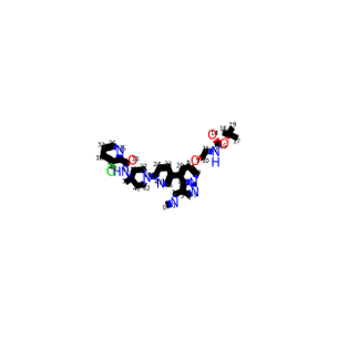 C=NCc1cnn2cc(OCCNC(=O)OC(C)(C)C)cc(-c3ccc(N4CCC(C)(NC(=O)c5ncccc5Cl)CC4)nc3)c12